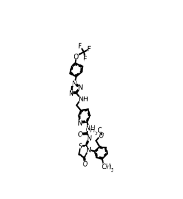 COCc1ccc(C)cc1N1C(=O)CSC1=NC(=O)Nc1ccc(CNc2ncn(-c3ccc(OC(F)(F)F)cc3)n2)cn1